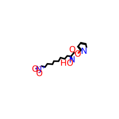 O=C(Oc1ccccn1)C(CCCCCCCCC[N+](=O)[O-])=NO